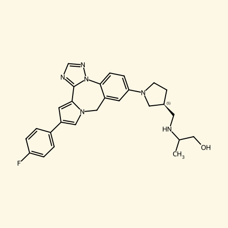 CC(CO)NC[C@@H]1CCN(c2ccc3c(c2)Cn2cc(-c4ccc(F)cc4)cc2-c2ncnn2-3)C1